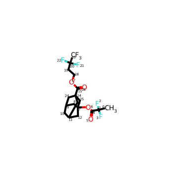 CC(F)(F)C(=O)OC12CC3CC(C1)CC(C(=O)OCCC(F)(F)C(F)(F)F)(C3)C2